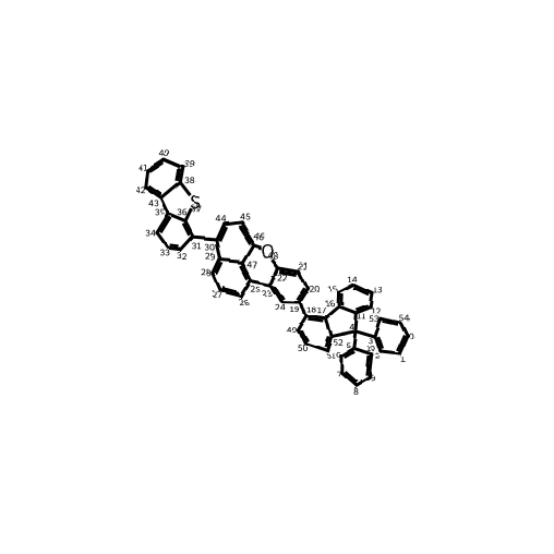 c1ccc(C2(c3ccccc3)c3ccccc3-c3c(-c4ccc5c(c4)-c4cccc6c(-c7cccc8c7sc7ccccc78)ccc(c46)O5)cccc32)cc1